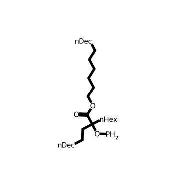 CCCCCCCCCCCCCCCCOC(=O)C(CCCCCC)(CCCCCCCCCCCC)OP